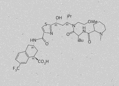 CCC(C)C(NC(=O)C1CCCCN1C)C(=O)N(CCOC)[C@H](C[C@@H](O)c1nc(C(=O)N[C@H]2Cc3ccc(C(F)(F)F)cc3[C@H](C(=O)O)C2)cs1)C(C)C